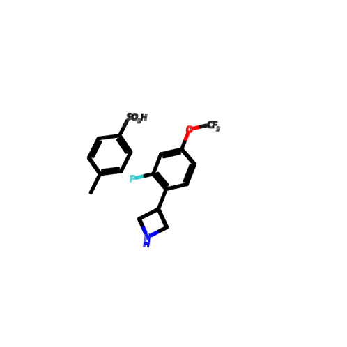 Cc1ccc(S(=O)(=O)O)cc1.Fc1cc(OC(F)(F)F)ccc1C1CNC1